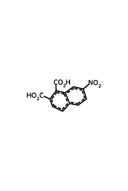 O=C(O)c1ccc2ccc([N+](=O)[O-])cc2c1C(=O)O